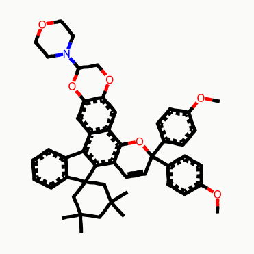 COc1ccc(C2(c3ccc(OC)cc3)C=Cc3c4c(c5cc6c(cc5c3O2)OCC(N2CCOCC2)O6)-c2ccccc2C42CC(C)(C)CC(C)(C)C2)cc1